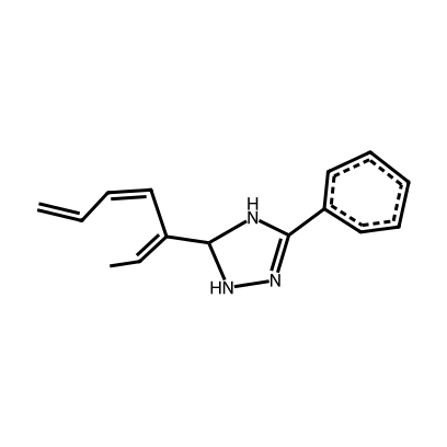 C=C/C=C\C(=C/C)C1NN=C(c2ccccc2)N1